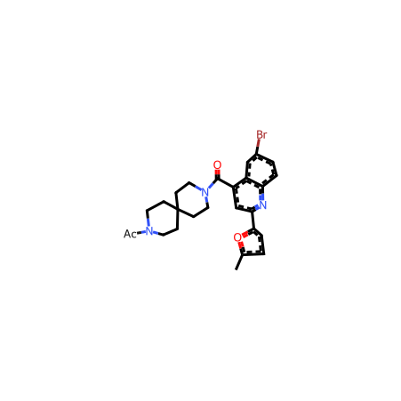 CC(=O)N1CCC2(CC1)CCN(C(=O)c1cc(-c3ccc(C)o3)nc3ccc(Br)cc13)CC2